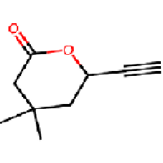 C#CC1CC(C)(C)CC(=O)O1